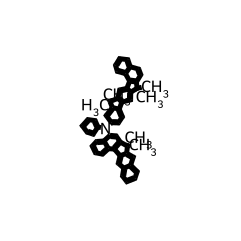 CC1(C)c2cc(N(c3ccccc3)c3cc4c(c5ccccc35)-c3cc5ccccc5cc3C4(C)C)ccc2-c2cc3c(cc21)-c1c(ccc2ccccc12)C3(C)C